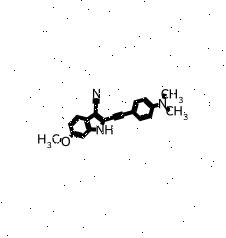 COc1ccc2c(C#N)c(C#Cc3ccc(N(C)C)cc3)[nH]c2c1